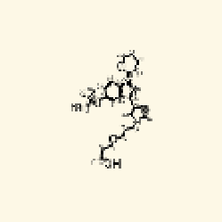 C[C@@H](O)CCOCCCn1cnc(-c2nn(C3CCCCO3)c3ccc(O[Si](C)(C)C(C)(C)C)cc23)c1